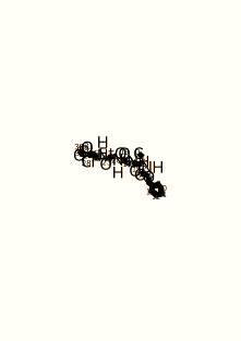 CCOC(=O)C[C@H](NC(=O)OCc1ccccc1)C(=O)NCC(=O)NCC(=O)NC/C=C(\Cl)S(C)(=O)=O